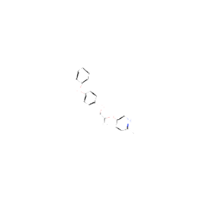 CCC(COc1ccc(Oc2ccccc2)cc1)Oc1ccc(C)nc1